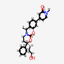 C[C@@H](c1ccc(-c2ccn(C)c(=O)c2)cc1)N1CC[C@](CCCO)(c2ccccc2)OC1=O